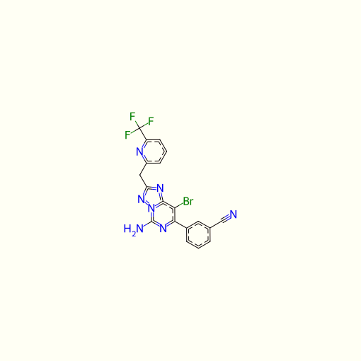 N#Cc1cccc(-c2nc(N)n3nc(Cc4cccc(C(F)(F)F)n4)nc3c2Br)c1